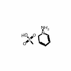 CS(=O)(=O)O.NN1C=CC=CC1